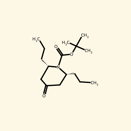 CCC[C@@H]1CC(=O)C[C@H](CCC)N1C(=O)OC(C)(C)C